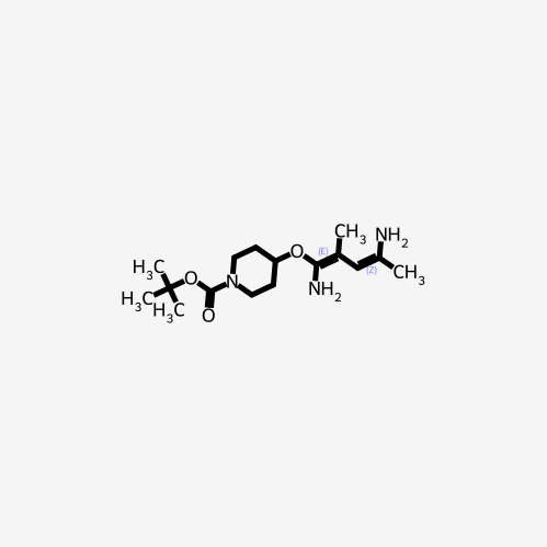 C/C(N)=C/C(C)=C(\N)OC1CCN(C(=O)OC(C)(C)C)CC1